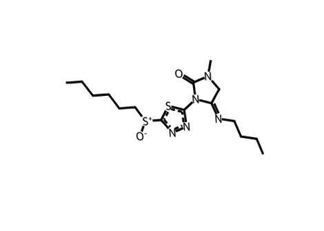 CCCCCC[S+]([O-])c1nnc(N2C(=O)N(C)CC2=NCCCC)s1